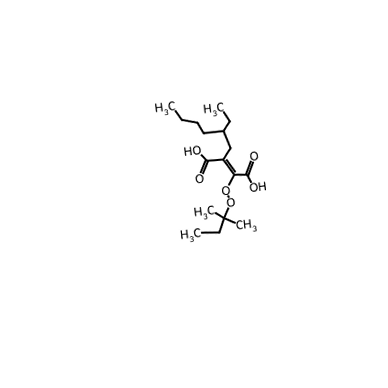 CCCCC(CC)C/C(C(=O)O)=C(/OOC(C)(C)CC)C(=O)O